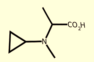 CC(C(=O)O)N(C)C1CC1